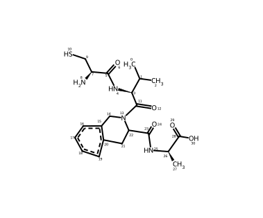 CC(C)[C@H](NC(=O)[C@@H](N)CS)C(=O)N1Cc2ccccc2CC1C(=O)N[C@H](C)C(=O)O